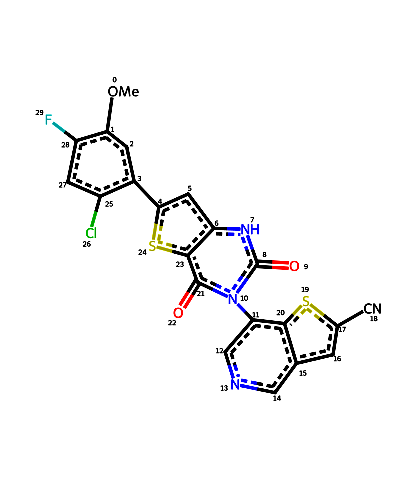 COc1cc(-c2cc3[nH]c(=O)n(-c4cncc5cc(C#N)sc45)c(=O)c3s2)c(Cl)cc1F